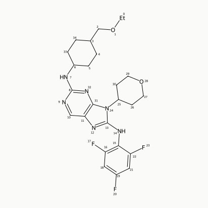 CCOCC1CCC(Nc2ncc3nc(Nc4c(F)cc(F)cc4F)n(C4CCOCC4)c3n2)CC1